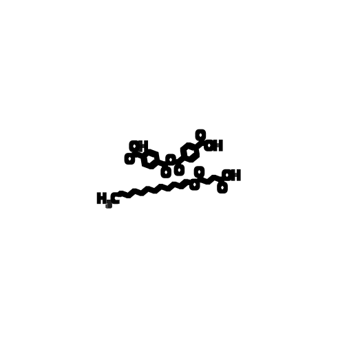 CCCCCCCCCCC=COC(=O)CCC(=O)O.O=C(O)c1ccc(C(=O)OC(=O)c2ccc(C(=O)O)cc2)cc1